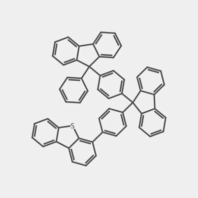 c1ccc(C2(c3ccc(C4(c5ccc(-c6cccc7c6sc6ccccc67)cc5)c5ccccc5-c5ccccc54)cc3)c3ccccc3-c3ccccc32)cc1